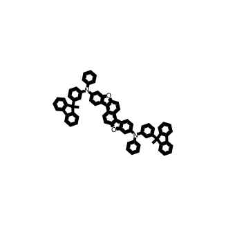 CC1(c2cccc(N(c3ccccc3)c3ccc4c(c3)oc3ccc5c(ccc6oc7cc(N(c8ccccc8)c8cccc(C9(C)c%10ccccc%10-c%10ccccc%109)c8)ccc7c65)c34)c2)c2ccccc2-c2ccccc21